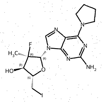 C[C@@]1(F)[C@H](O)[C@@H](CI)O[C@H]1n1cnc2c(N3CCCC3)nc(N)nc21